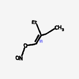 CC/C(C)=C\ON=O